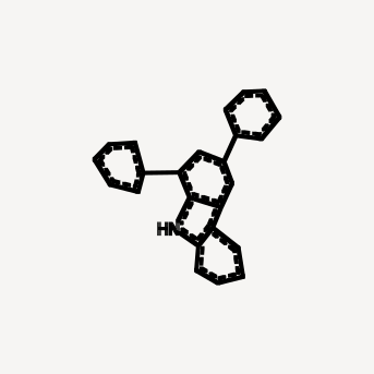 c1ccc(-c2cc(-c3ccccc3)c3[nH]c4ccccc4c3c2)cc1